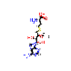 CO[C@H](CSCC[C@H](N)C(=O)O)[C@@H](O)[C@@H](O)n1cnc2c(N)ncnc21